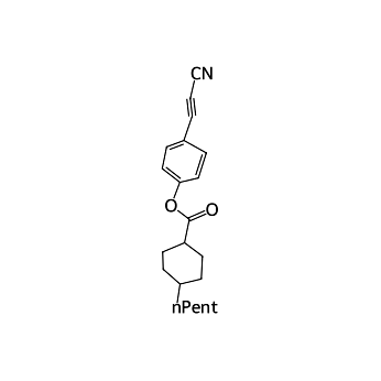 CCCCCC1CCC(C(=O)Oc2ccc(C#CC#N)cc2)CC1